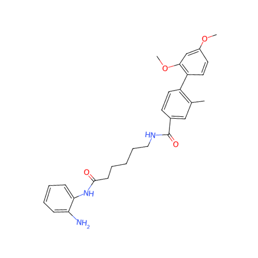 COc1ccc(-c2ccc(C(=O)NCCCCCC(=O)Nc3ccccc3N)cc2C)c(OC)c1